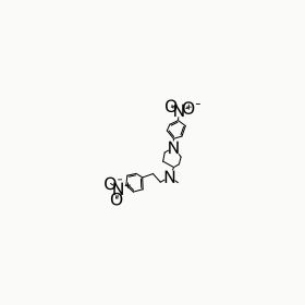 CN(CCc1ccc([N+](=O)[O-])cc1)C1CCN(c2ccc([N+](=O)[O-])cc2)CC1